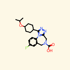 CC(C)OC1CCC(c2nnc3n2-c2ccc(F)cc2CN(C(=O)O)C3)CC1